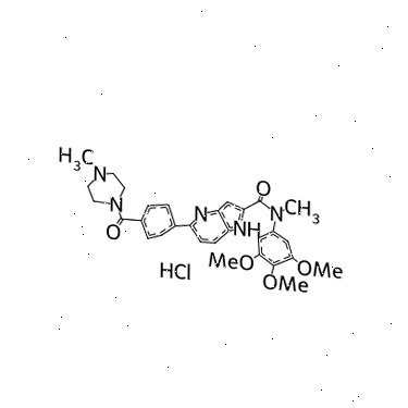 COc1cc(N(C)C(=O)c2cc3nc(-c4ccc(C(=O)N5CCN(C)CC5)cc4)ccc3[nH]2)cc(OC)c1OC.Cl